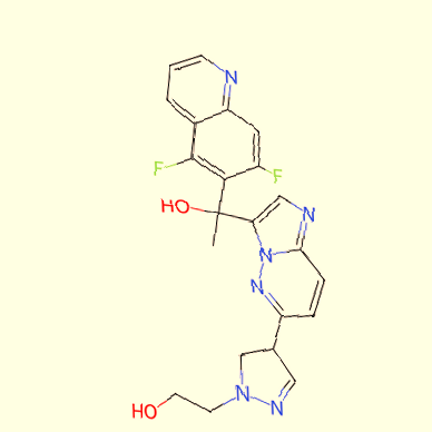 CC(O)(c1c(F)cc2ncccc2c1F)c1cnc2ccc(C3C=NN(CCO)C3)nn12